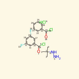 CC(C)(C)NN.Cl.O=C(Cl)c1cc(F)cc(F)c1.O=C(Cl)c1ccccc1